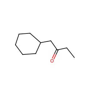 CCC(=O)CC1CCCCC1